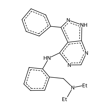 CCN(CC)Cc1ccccc1Nc1ncnc2[nH]nc(-c3ccccc3)c12